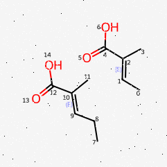 C/C=C(\C)C(=O)O.CC/C=C(\C)C(=O)O